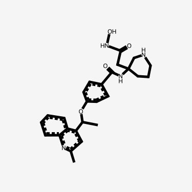 Cc1cc(C(C)Oc2ccc(C(=O)NC3(CC(=O)NO)CCCNC3)cc2)c2ccccc2n1